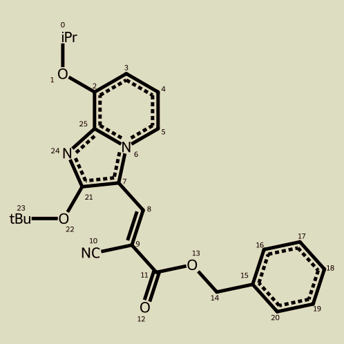 CC(C)Oc1cccn2c(C=C(C#N)C(=O)OCc3ccccc3)c(OC(C)(C)C)nc12